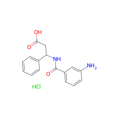 Cl.Nc1cccc(C(=O)NC(CC(=O)O)c2ccccc2)c1